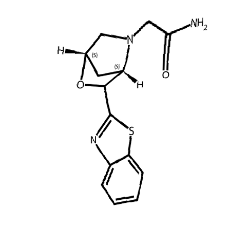 NC(=O)CN1C[C@@H]2C[C@H]1C(c1nc3ccccc3s1)O2